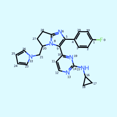 Fc1ccc(-c2nc3n(c2-c2ccnc(NC4CC4)n2)C(Cn2cccc2)CC3)cc1